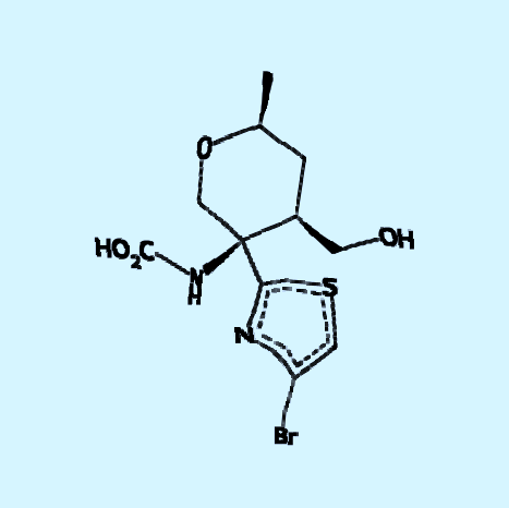 C[C@H]1C[C@@H](CO)[C@](NC(=O)O)(c2nc(Br)cs2)CO1